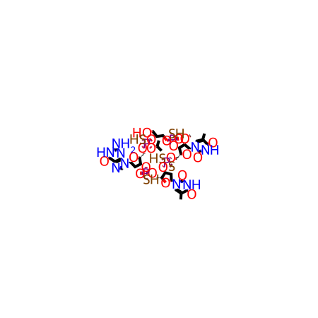 COC1[C@@H](OP(=O)(S)OCCCO)[C@@H](COP(=S)(S)O[C@@H]2C[C@H](n3cc(C)c(=O)[nH]c3=O)O[C@@H]2COP(=O)(S)O[C@@H]2C[C@H](n3cnc4c(=O)[nH]c(N)nc43)O[C@@H]2COP(=O)(S)OC(C)C)O[C@H]1n1cc(C)c(=O)[nH]c1=O